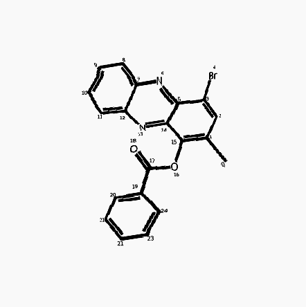 Cc1cc(Br)c2nc3ccccc3nc2c1OC(=O)c1ccccc1